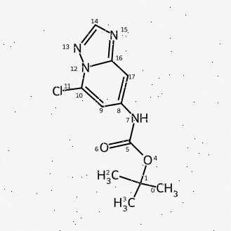 CC(C)(C)OC(=O)Nc1cc(Cl)n2ncnc2c1